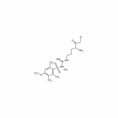 COc1cc(C)c(S(=O)(=O)NC(=N)NCCCC(N)C(=O)CCl)c(C)c1C.Cl